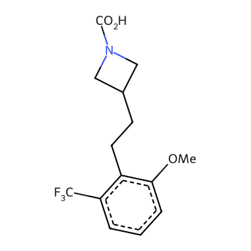 COc1cccc(C(F)(F)F)c1CCC1CN(C(=O)O)C1